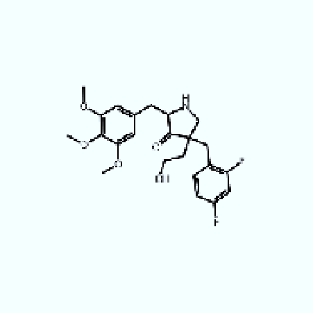 COc1cc(CC2NCC(CCO)(Cc3ccc(F)cc3F)C2=O)cc(OC)c1OC